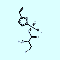 C=Cc1ccc(S(N)(=O)=NC(=O)[C@@H](N)CC(C)C)s1